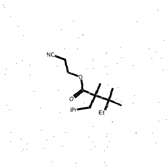 CCC(C)(C)C(C)(CC(C)C)C(=O)OCCC#N